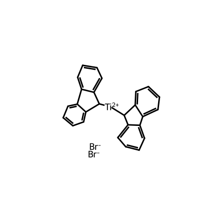 [Br-].[Br-].c1ccc2c(c1)-c1ccccc1[CH]2[Ti+2][CH]1c2ccccc2-c2ccccc21